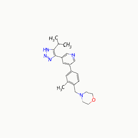 Cc1cc(-c2cncc(-c3nn[nH]c3C(C)C)c2)ccc1CN1CCOCC1